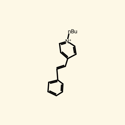 CCCC[n+]1ccc(/C=C/c2ccccc2)cc1